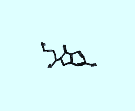 CC(=O)CCC(C(C)=O)N1Cc2cc(O)ccc2C1=O